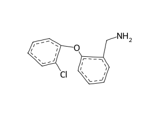 NCc1ccccc1Oc1ccccc1Cl